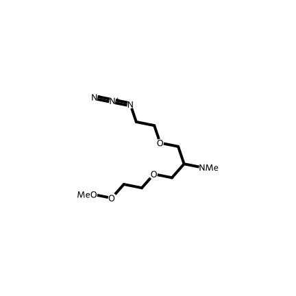 CNC(COCCN=[N+]=[N-])COCCOOC